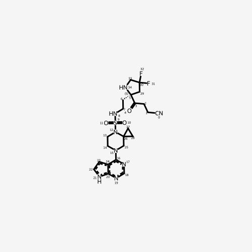 N#CCCC(=O)[C@]1(CCNS(=O)(=O)N2CCN(c3ncnc4[nH]ccc34)CC23CC3)CC(F)(F)CN1